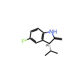 C=C1Nc2ccc(F)cc2[C@H]1C(C)C